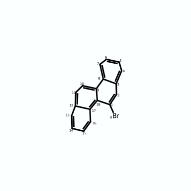 Brc1cc2ccccc2c2ccc3ccccc3c12